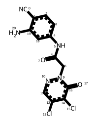 N#Cc1ccc(NC(=O)Cn2ncc(Cl)c(Cl)c2=O)cc1N